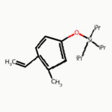 C=Cc1ccc(O[Si](C(C)C)(C(C)C)C(C)C)cc1C